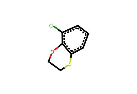 Clc1cccc2c1OCCS2